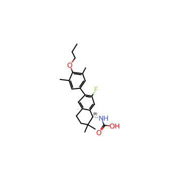 CCCOc1c(C)cc(-c2cc3c(cc2F)[C@H](NC(=O)O)C(C)(C)CC3)cc1C